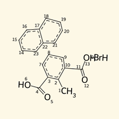 Br.Cc1c(C(=O)O)cccc1C(=O)O.c1ccc2ccccc2c1